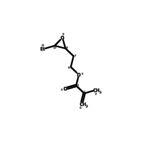 C=C(C)C(=O)OCCC1OC1CC